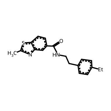 CCc1ccc(CCNC(=O)c2ccc3sc(C)nc3c2)cc1